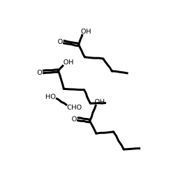 CCCCC(=O)O.CCCCC(=O)O.CCCCC(=O)O.O=CO